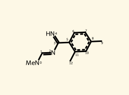 CNC=NC(=N)c1ccc(C)cc1C